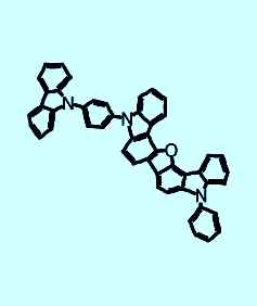 c1ccc(-n2c3ccccc3c3c4oc5c(ccc6c5c5ccccc5n6-c5ccc(-n6c7ccccc7c7ccccc76)cc5)c4ccc32)cc1